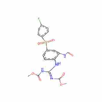 COC(=O)/N=C(/NC(=O)OC)Nc1ccc(S(=O)(=O)c2ccc(F)cc2)cc1NC=O